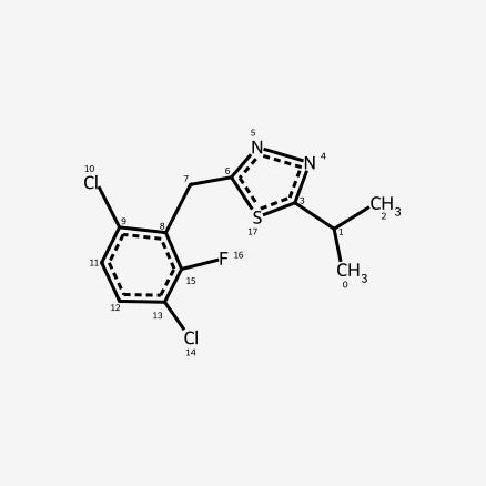 CC(C)c1nnc(Cc2c(Cl)ccc(Cl)c2F)s1